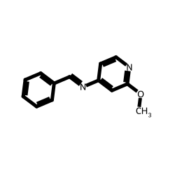 COc1cc(/N=C/c2ccccc2)ccn1